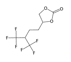 O=C1OCC(CCC(C(F)(F)F)C(F)(F)F)O1